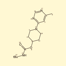 Cc1cc(N2CCC(OC(=O)NC(C)(C)C)CC2)ncn1